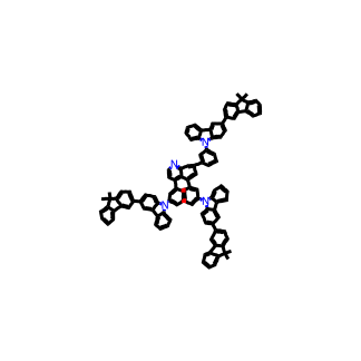 CC1(C)c2ccccc2-c2cc(-c3ccc4c(c3)c3ccccc3n4-c3cccc(-c4cc(-c5cccc(-n6c7ccccc7c7cc(-c8ccc9c(c8)-c8ccccc8C9(C)C)ccc76)c5)c5c(-c6cccc(-n7c8ccccc8c8cc(-c9ccc%10c(c9)-c9ccccc9C%10(C)C)ccc87)c6)ccnc5c4)c3)ccc21